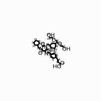 O=C(O)C=Cc1ccc(-c2nc3c(=O)n(CC4CCCCC4)c(=O)n(CC4CCCCC4)c3[nH]2)cc1.OCCOCCOCCO